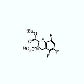 CC(C)(C)OC(=O)C[C@@H](Cc1c(F)c(F)cc(F)c1F)C(=O)O